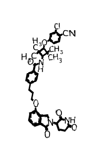 CC1(C)C(NC(=O)c2ccc(CCCOc3cccc4c3CN(C3CCC(=O)NC3=O)C4=O)cc2)C(C)(C)C1Oc1ccc(C#N)c(Cl)c1